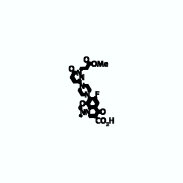 COC(=O)CCn1nc(N2CCN(c3c(F)cc4c(=O)c(C(=O)O)cn5c4c3OCN5C)CC2)ccc1=O